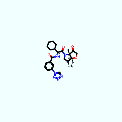 C[C@H]1CN(C(=O)[C@@H](NC(=O)c2cccc(-n3cnnn3)c2)C2CCCCC2)[C@@H]2C(=O)CO[C@@H]21